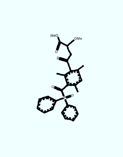 COC(=O)C(CC(=O)c1c(C)cc(C)c(C(=O)P(=O)(c2ccccc2)c2ccccc2)c1C)OC